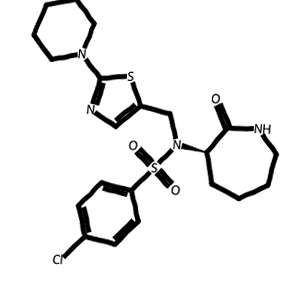 O=C1NCCCC[C@H]1N(Cc1cnc(N2CCCCC2)s1)S(=O)(=O)c1ccc(Cl)cc1